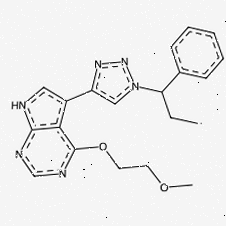 [CH2]CC(c1ccccc1)n1cc(-c2c[nH]c3ncnc(OCCOC)c23)nn1